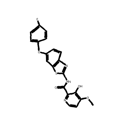 COc1ccnc(C(=O)Nc2nc3ccc(Oc4ccc(F)cc4)cc3s2)c1O